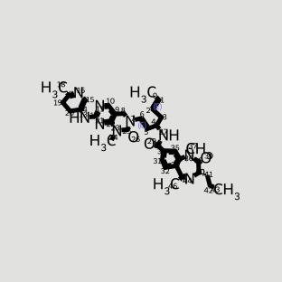 C/C=C/CC(/C=C/N1Cc2cnc(NC3=CN=C(C)CC3)nc2N(C)C1=O)NC(=O)c1ccc2c(c1)N(C)C(=O)[C@H](CCC)N=C2C